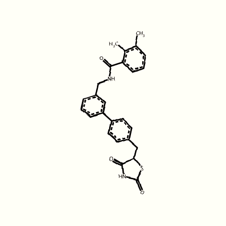 Cc1cccc(C(=O)NCc2cccc(-c3ccc(CC4SC(=O)NC4=O)cc3)c2)c1C